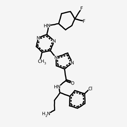 Cc1cnc(NC2CCC(F)(F)CC2)nc1-n1cnc(C(=O)NC(CCN)c2cccc(Cl)c2)c1